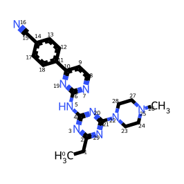 CCc1nc(Nc2nccc(-c3ccc(C#N)cc3)n2)nc(N2CCN(C)CC2)n1